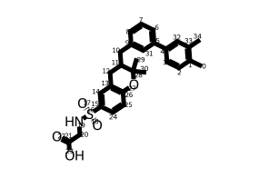 Cc1ccc(-c2cccc(CC3Cc4cc(S(=O)(=O)NCC(=O)O)ccc4OC3(C)C)c2)cc1C